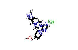 COCC1CCN(c2nccnc2N2CCN(Cc3cnn(C)c3C)CC2)CC1.Cl